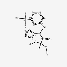 CC(CF)(CF)C(=O)C(Oc1cccc(C(F)(F)F)c1)n1ccnc1